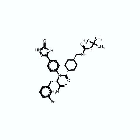 CC(C)(C)OC(=O)NC[C@H]1CC[C@H](C(=O)N(c2ccc(-c3n[nH]c(=O)[nH]3)cc2)[C@@H](Cc2cccc(Br)c2)C(N)=O)CC1